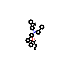 C=C/C=C\C=C(/C)C1(c2ccccc2)Oc2cc(N(c3cccc(-c4ccccc4)c3)c3ccc4c(c3)C(C)(C)c3ccccc3-4)ccc2-c2ccccc21